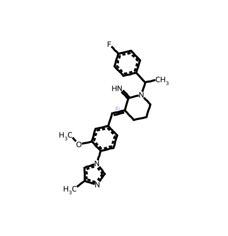 COc1cc(/C=C2\CCCN(C(C)c3ccc(F)cc3)C2=N)ccc1-n1cnc(C)c1